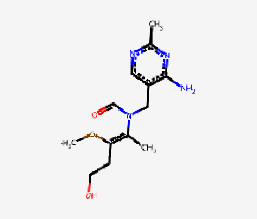 [CH2]S/C(CCO)=C(/C)N(C=O)Cc1cnc(C)nc1N